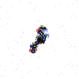 [2H]C1([2H])N(c2ncc(Cl)c(Nc3cc4c5c(c(=O)n(C)c4cc3F)OCC(F)(F)[C@H](C3CC3)N5)n2)C([2H])([2H])C([2H])([2H])C([2H])(CN2CCC(c3ccc4c(N5C(=O)CCCC5=O)nn(C)c4c3F)CC2)C1([2H])[2H]